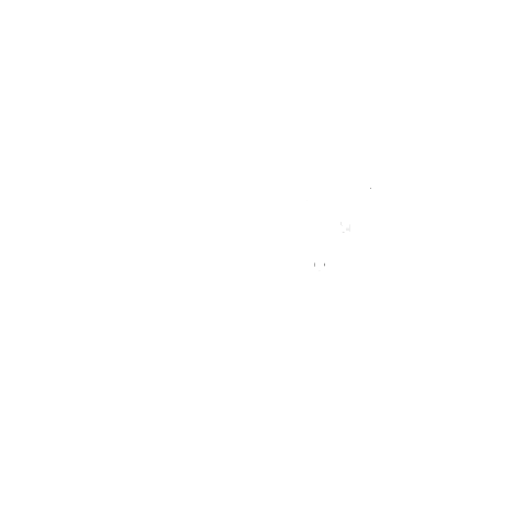 C#CCCCC(C)(C)O[Si](C(C)C)(C(C)C)C(C)(C)C